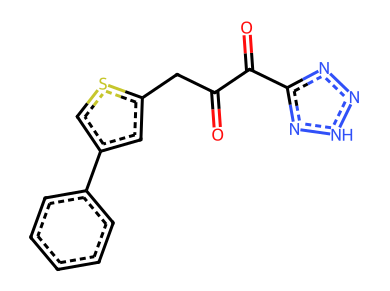 O=C(Cc1cc(-c2ccccc2)cs1)C(=O)c1nn[nH]n1